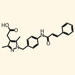 Cc1nn(Cc2ccc(NC(=O)C=Cc3ccccc3)cc2)c(C)c1CC(=O)O